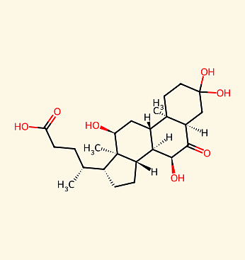 C[C@H](CCC(=O)O)[C@H]1CC[C@H]2[C@@H]3[C@H](O)C(=O)[C@@H]4CC(O)(O)CC[C@]4(C)[C@H]3C[C@H](O)[C@]12C